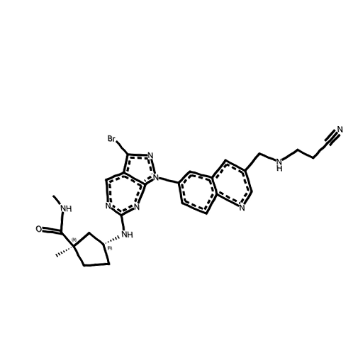 CNC(=O)[C@]1(C)CC[C@@H](Nc2ncc3c(Br)nn(-c4ccc5ncc(CNCCC#N)cc5c4)c3n2)C1